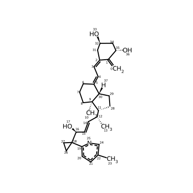 C=C1/C(=C\C=C2/CCC[C@]3(C)[C@@H]([C@H](C)/C=C/[C@H](O)C4(c5ccc(C)cn5)CC4)CC[C@@H]23)C[C@@H](O)C[C@@H]1O